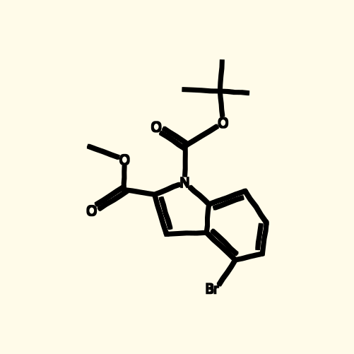 COC(=O)c1cc2c(Br)cccc2n1C(=O)OC(C)(C)C